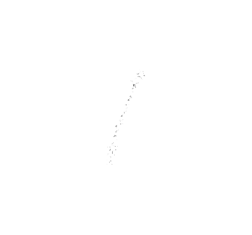 CC(C)(C)OC(=O)Nc1ccc(OCCOCCOCCOCCOCCOCCOCCNC(=O)OCc2ccccc2)cc1